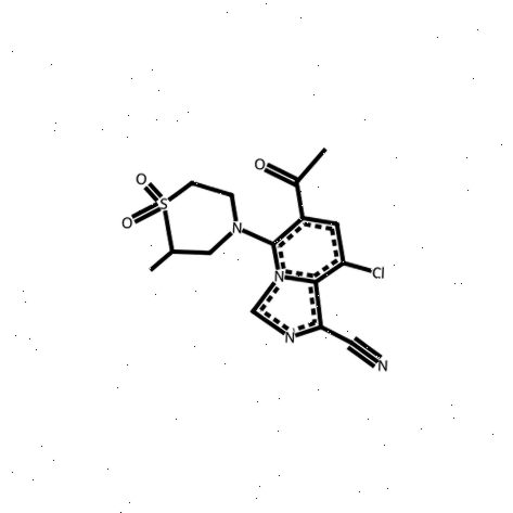 CC(=O)c1cc(Cl)c2c(C#N)ncn2c1N1CCS(=O)(=O)C(C)C1